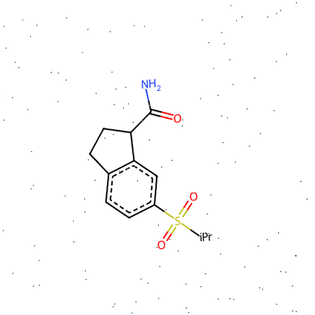 CC(C)S(=O)(=O)c1ccc2c(c1)C(C(N)=O)CC2